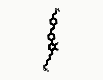 CCCC1CCC(/C=C/C2CCC(c3ccc(CCCCCOC)c(F)c3F)CC2)CC1